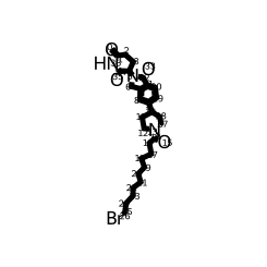 O=C1CCC(N2Cc3cc(C4CCN(C(=O)CCCCCCCCCCBr)CC4)ccc3C2=O)C(=O)N1